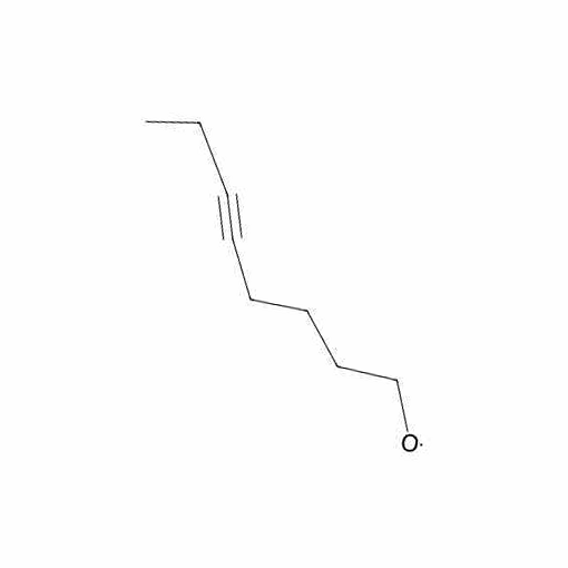 CCC#CCCCC[O]